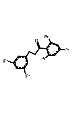 CC(C)c1[c]c(C(C)C)cc(CCC(=O)c2c(C(C)C)cc(C(C)C)cc2C(C)C)c1